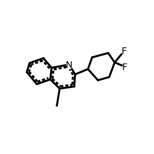 Cc1cc(C2CCC(F)(F)CC2)nc2ccccc12